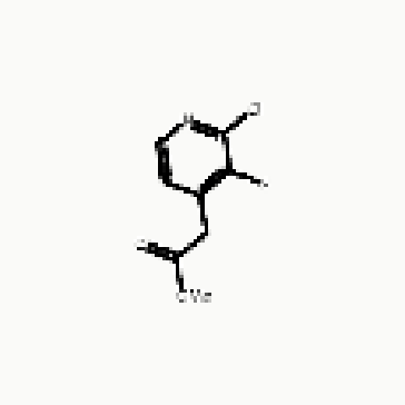 COC(=O)Cc1ccnc(Cl)c1F